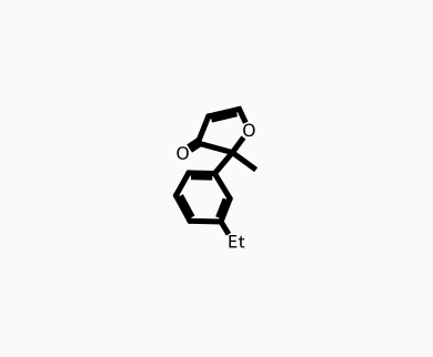 CCc1cccc(C2(C)OC=CC2=O)c1